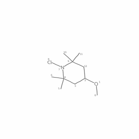 COC1CC(C)(C)N(Cl)C(C)(C)C1